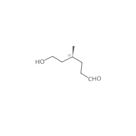 C[C@H](CCO)CCC=O